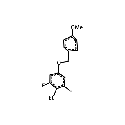 CCc1c(F)cc(OCc2ccc(OC)cc2)cc1F